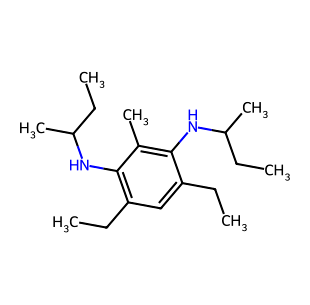 CCc1cc(CC)c(NC(C)CC)c(C)c1NC(C)CC